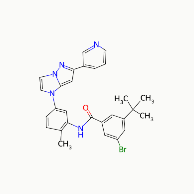 Cc1ccc(-n2ccn3nc(-c4cccnc4)cc23)cc1NC(=O)c1cc(Br)cc(C(C)(C)C)c1